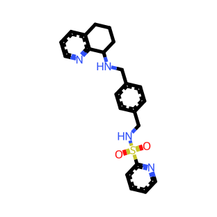 O=S(=O)(NCc1ccc(CNC2CCCc3cccnc32)cc1)c1ccccn1